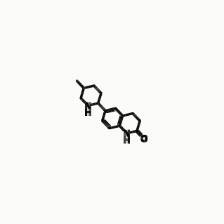 CC1CCC(c2ccc3c(c2)CCC(=O)N3)NC1